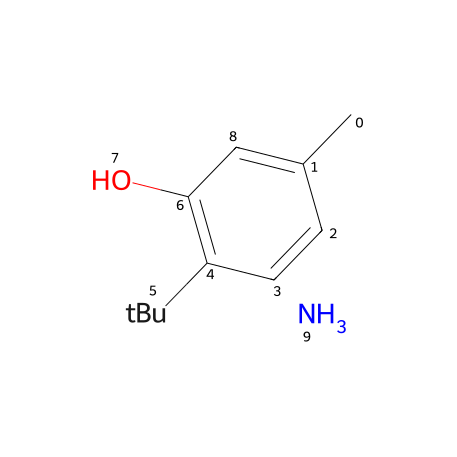 Cc1ccc(C(C)(C)C)c(O)c1.N